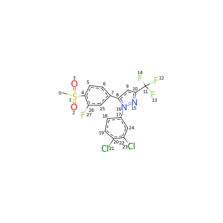 CS(=O)(=O)c1ccc(-c2cc(C(F)(F)F)nn2-c2ccc(Cl)c(Cl)c2)cc1F